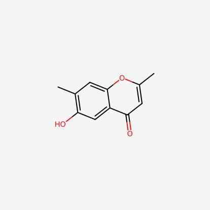 Cc1cc(=O)c2cc(O)c(C)cc2o1